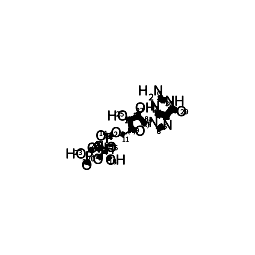 Nc1nc2c(ncn2[C@@H]2O[C@H](CO[PH](=O)OP(=O)(O)OP(=O)(O)O)[C@@H](O)[C@H]2O)c(=O)[nH]1